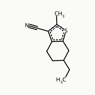 CCC1CCc2c(sc(C)c2C#N)C1